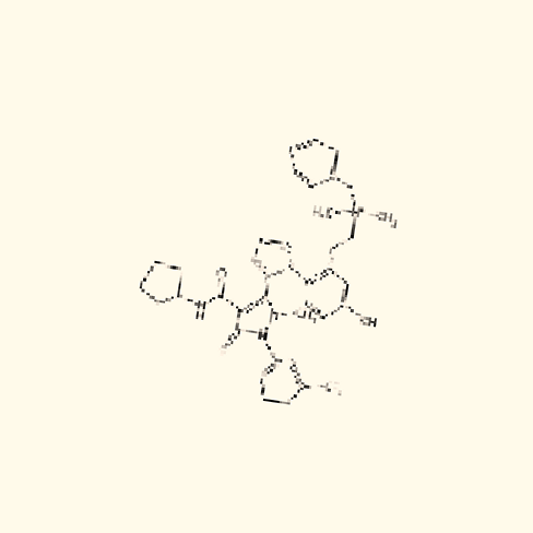 Cn1c(-c2ccnn2-c2ccc(C#N)cc2CC[N+](C)(C)Cc2ccccc2)c(C(=O)NC2CCCC2)c(=O)n1-c1cccc(C(F)(F)F)c1